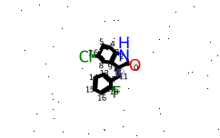 O=C1Nc2ccc(Cl)cc2/C1=C\c1ccccc1F